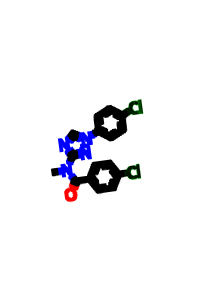 CN(C(=O)c1ccc(Cl)cc1)c1ncn(-c2ccc(Cl)cc2)n1